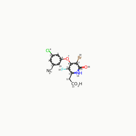 N#Cc1cc(Cl)cc(Oc2c(F)c(CC(=O)O)[nH]c(=O)c2Br)c1